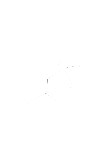 CCS(=O)(=O)CC(=O)C(C)(C)C